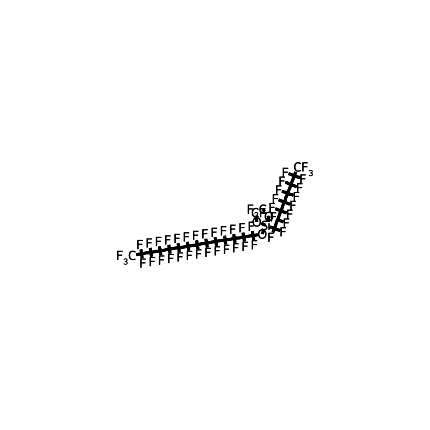 FC(F)(F)O[Si](OC(F)(F)F)(OC(F)(F)C(F)(F)C(F)(F)C(F)(F)C(F)(F)C(F)(F)C(F)(F)C(F)(F)C(F)(F)C(F)(F)C(F)(F)C(F)(F)C(F)(F)C(F)(F)F)C(F)(F)C(F)(F)C(F)(F)C(F)(F)C(F)(F)C(F)(F)C(F)(F)C(F)(F)F